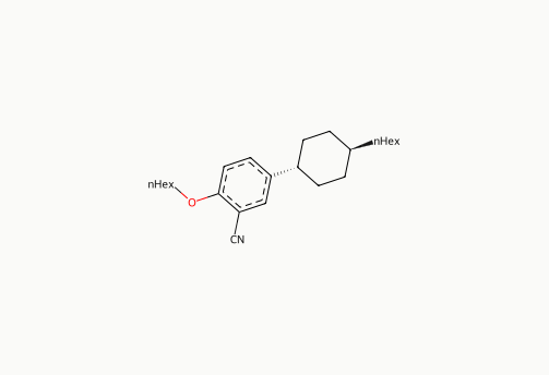 CCCCCCOc1ccc([C@H]2CC[C@H](CCCCCC)CC2)cc1C#N